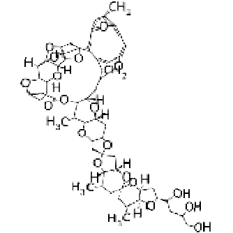 C=C1C2=CC3=C\C=c4/oc(cc4=C)/C=C\2[C@@]24CC5OC6[C@@H](O2)C2OC(CC[C@@H]2O[C@H]6[C@H]5O4)CC(=O)OC2C(C)C4OC5C[C@]6(C[C@@H]7O[C@]8(CC(C)[C@@H]9O[C@H](C(O)CC(O)CO)C[C@@H]9O8)CC(C)[C@@H]7O6)OC5C[C@H]4O[C@H]2CC1O\3